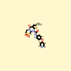 CC(C)(C)c1cc(C(=O)N2CCS(=O)(=O)CC2)c(NC(=O)Nc2ccc(Oc3ccncc3)cc2)s1